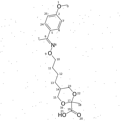 COc1ccc(C(C)=NOCCCCC2COC(C)(C(=O)O)OC2)cc1